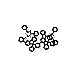 c1ccc(-c2nc(-c3ccccc3)nc(-n3c4ccccc4c4ccc5c(c43)-c3ccccc3C5(c3ccccc3)c3cccc(-c4cc5c6ccccc6n(-c6nc(-c7ccccc7)nc(-c7ccccc7)n6)c5c5c4-c4ccccc4C5(c4ccccc4)c4ccccc4)c3)n2)cc1